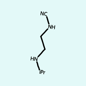 CC(C)NCCNC#N